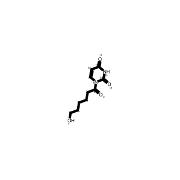 O=C(CCCCCO)n1ccc(=O)[nH]c1=O